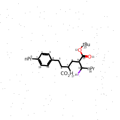 CCCc1ccc(CCC(CC(C(=O)OC(C)(C)C)C(I)CCC)C(=O)O)cc1